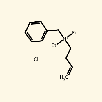 C=CCC[N+](CC)(CC)Cc1ccccc1.[Cl-]